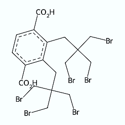 O=C(O)c1ccc(C(=O)O)c(CC(CBr)(CBr)CBr)c1CC(CBr)(CBr)CBr